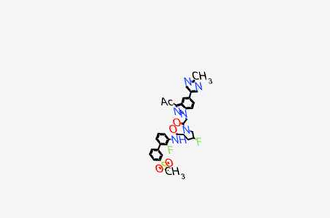 CC(=O)c1nn(CC(=O)N2CC(F)CC2C(=O)Nc2cccc(-c3cccc(S(C)(=O)=O)c3)c2F)c2ccc(-c3cnc(C)nc3)cc12